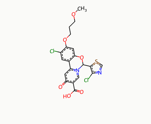 COCCCOc1cc2c(cc1Cl)-c1cc(=O)c(C(=O)O)cn1C(c1scnc1Cl)O2